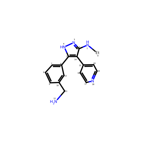 CCNc1n[nH]c(-c2cccc(CN)c2)c1-c1ccncc1